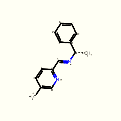 Cc1ccc(/C=N/[C@@H](C)c2ccccc2)nc1